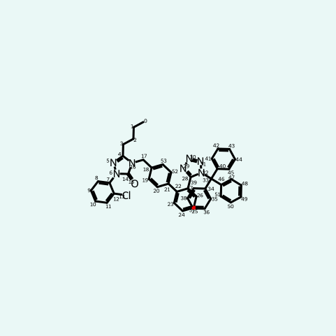 CCCCc1nn(-c2ccccc2Cl)c(=O)n1Cc1ccc(-c2ccccc2-c2nnnn2C(c2ccccc2)(c2ccccc2)c2ccccc2)cc1